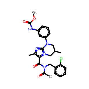 CCC(=O)N(Cc1ccccc1Cl)C(=O)c1c(C)nc2n1CC(C)CN2c1cccc(NC(=O)OC(C)(C)C)c1